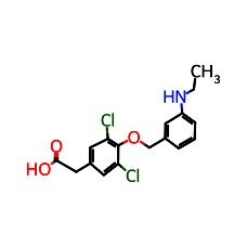 CCNc1cccc(COc2c(Cl)cc(CC(=O)O)cc2Cl)c1